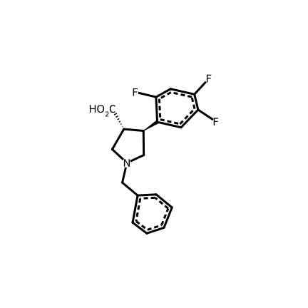 O=C(O)[C@H]1CN(Cc2ccccc2)C[C@@H]1c1cc(F)c(F)cc1F